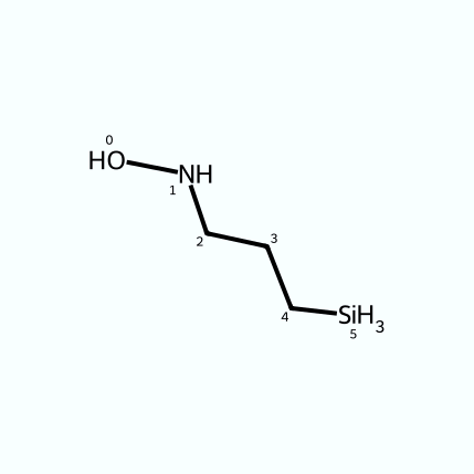 ONCCC[SiH3]